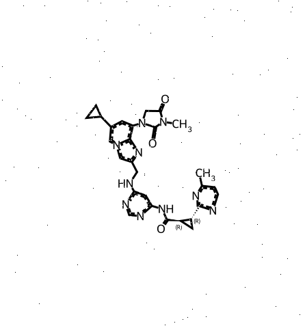 Cc1ccnc([C@@H]2C[C@H]2C(=O)Nc2cc(NCc3cn4cc(C5CC5)cc(N5CC(=O)N(C)C5=O)c4n3)ncn2)n1